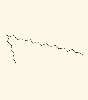 [CH2]C(CCCCCCC)CCCCCCCCCCCCCCCCCC